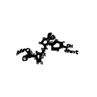 CCCCC[C@H](O)c1ccc(N2C(COCc3ccc(C(=O)OC)s3)CCS2(=O)=O)cc1